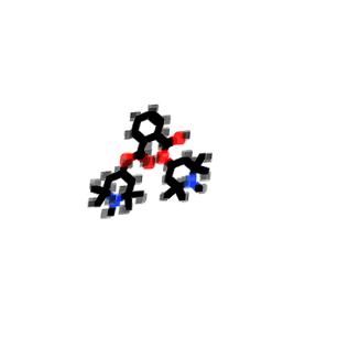 CN1C(C)(C)CC(OC(=O)C2C=CCCC2C(=O)OC2CC(C)(C)N(C)C(C)(C)C2)CC1(C)C